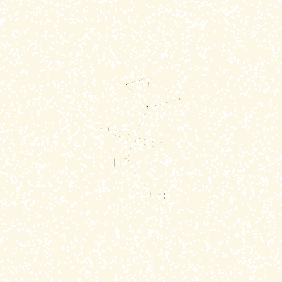 CBS(=O)(=O)C12CC1C2